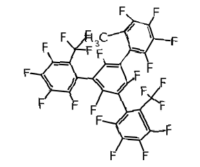 Cc1c(F)c(F)c(F)c(F)c1-c1c(F)c(-c2c(F)c(F)c(F)c(F)c2C(F)(F)F)c(F)c(-c2c(F)c(F)c(F)c(F)c2C(F)(F)F)c1F